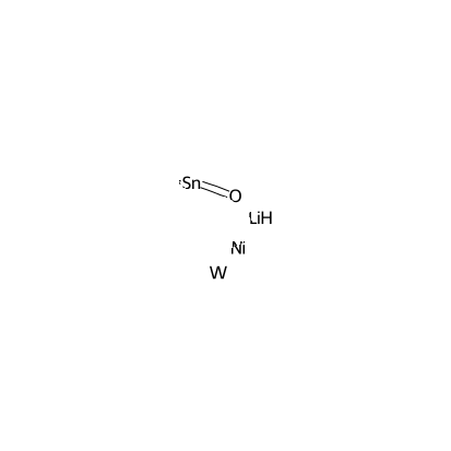 [LiH].[Ni].[O]=[Sn].[W]